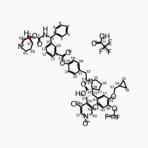 O=C(N[C@@H](c1ccccc1)c1cccc(C(=O)Oc2ccc(CCN3CCC[C@@]3(C(=O)O)[C@@H](Cc3c(Cl)c[n+]([O-])cc3Cl)c3ccc(OC(F)F)c(OCC4CC4)c3)cc2)c1)O[C@H]1CN2CCC1CC2.O=C(O)C(F)(F)F